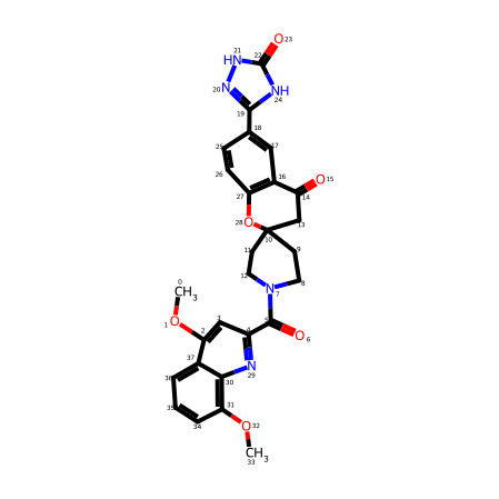 COc1cc(C(=O)N2CCC3(CC2)CC(=O)c2cc(-c4n[nH]c(=O)[nH]4)ccc2O3)nc2c(OC)cccc12